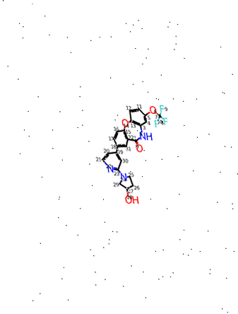 O=C1Nc2cc(OC(F)(F)F)ccc2Oc2ccc(-c3ccnc(N4CCC(O)C4)c3)cc21